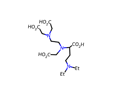 CCN(CC)CCC(C(=O)O)N(CCN(CC(=O)O)CC(=O)O)CC(=O)O